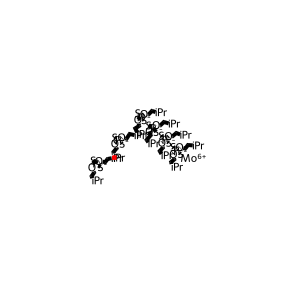 CC(C)CCOP(=S)([S-])OCCC(C)C.CC(C)CCOP(=S)([S-])OCCC(C)C.CC(C)CCOP(=S)([S-])OCCC(C)C.CC(C)CCOP(=S)([S-])OCCC(C)C.CC(C)CCOP(=S)([S-])OCCC(C)C.CC(C)CCOP(=S)([S-])OCCC(C)C.[Mo+6]